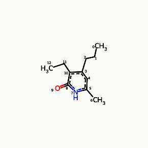 CCCc1cc(C)[nH]c(=O)c1CC